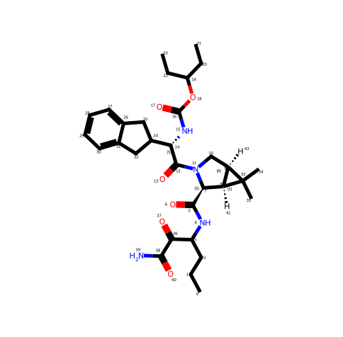 CCCC(NC(=O)[C@@H]1[C@H]2[C@@H](CN1C(=O)[C@@H](NC(=O)OC(CC)CC)C1Cc3ccccc3C1)C2(C)C)C(=O)C(N)=O